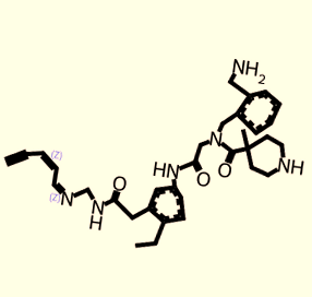 C#C/C=C\C=N/CNC(=O)Cc1cc(NC(=O)CN(Cc2ccccc2CN)C(=O)C2(C)CCNCC2)ccc1CC